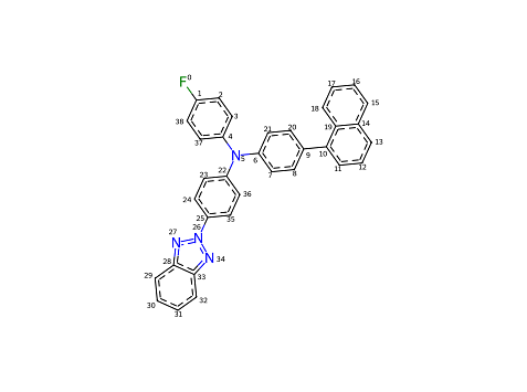 Fc1ccc(N(c2ccc(-c3cccc4ccccc34)cc2)c2ccc(-n3nc4ccccc4n3)cc2)cc1